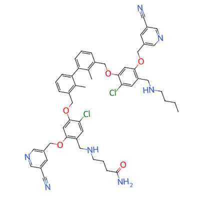 CCCCNCc1cc(Cl)c(OCc2cccc(-c3cccc(COc4cc(OCc5cncc(C#N)c5)c(CNCCCC(N)=O)cc4Cl)c3C)c2C)cc1OCc1cncc(C#N)c1